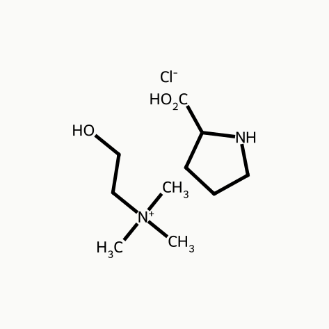 C[N+](C)(C)CCO.O=C(O)C1CCCN1.[Cl-]